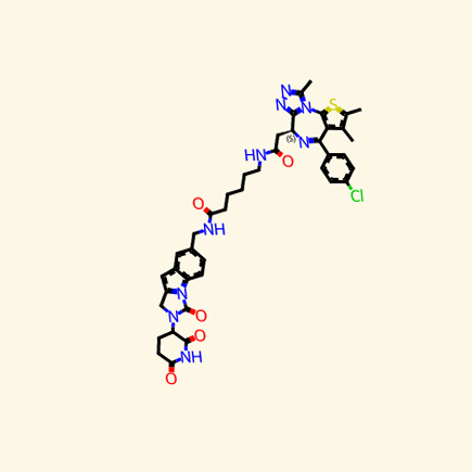 Cc1sc2c(c1C)C(c1ccc(Cl)cc1)=N[C@@H](CC(=O)NCCCCCC(=O)NCc1ccc3c(c1)cc1n3C(=O)N(C3CCC(=O)NC3=O)C1)c1nnc(C)n1-2